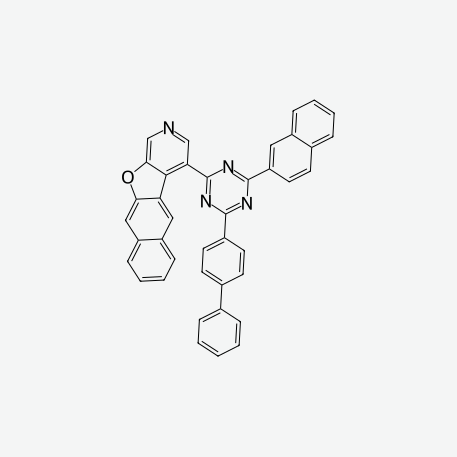 c1ccc(-c2ccc(-c3nc(-c4ccc5ccccc5c4)nc(-c4cncc5oc6cc7ccccc7cc6c45)n3)cc2)cc1